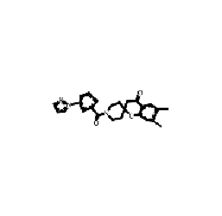 Cc1cc2c(cc1C)C(=O)CC1(CCN(C(=O)c3cccc(-n4cccn4)c3)CC1)O2